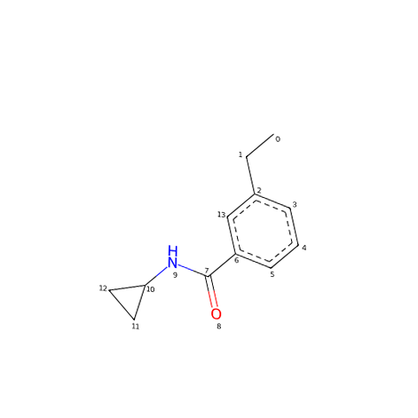 CCc1cccc(C(=O)NC2CC2)c1